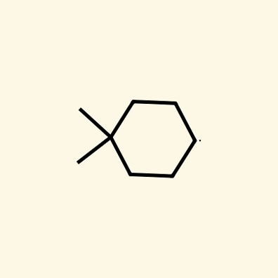 CC1(C)CC[CH]CC1